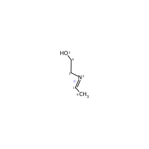 C/[C]=N/CCO